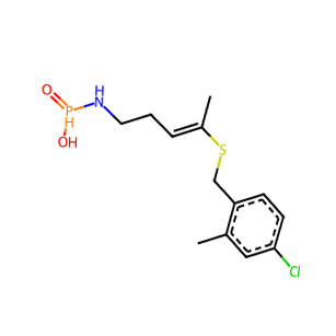 CC(=CCCN[PH](=O)O)SCc1ccc(Cl)cc1C